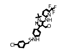 CC(C)(C)n1nc(-c2ccc(NSCc3ccc(Cl)cc3)cc2)c(C=O)c1Nc1cccc(C(F)(F)F)n1